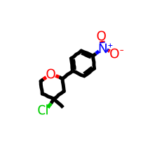 CC1(Cl)CCOC(c2ccc([N+](=O)[O-])cc2)C1